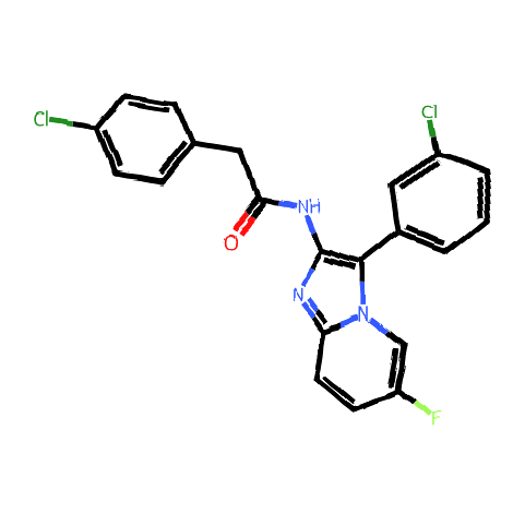 O=C(Cc1ccc(Cl)cc1)Nc1nc2ccc(F)cn2c1-c1cccc(Cl)c1